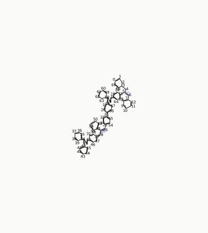 C1=CCC(C/C(=C/c2ccccc2)c2ccc(N(c3ccc(-c4ccc(/C=C(/Cc5ccc(N(c6ccccc6)c6ccccc6)cc5)c5ccccc5)cc4)cc3)C3C=CC=CC3)cc2)C=C1